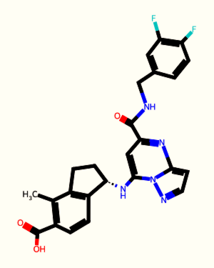 Cc1c(C(=O)O)ccc2c1CC[C@@H]2Nc1cc(C(=O)NCc2ccc(F)c(F)c2)nc2ccnn12